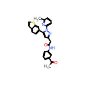 CC(=O)c1cccc(NC(=O)Cc2cc(-c3ccc4ccsc4c3)n(-c3cccc(C)n3)n2)c1